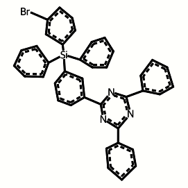 Brc1cccc([Si](c2ccccc2)(c2ccccc2)c2cccc(-c3nc(-c4ccccc4)nc(-c4ccccc4)n3)c2)c1